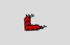 O=P([O-])([O-])OP(=O)([O-])OP(=O)([O-])OP(=O)([O-])OP(=O)([O-])[O-].O=P([O-])([O-])OP(=O)([O-])OP(=O)([O-])OP(=O)([O-])OP(=O)([O-])[O-].O=P([O-])([O-])OP(=O)([O-])OP(=O)([O-])OP(=O)([O-])OP(=O)([O-])[O-].O=P([O-])([O-])OP(=O)([O-])OP(=O)([O-])OP(=O)([O-])OP(=O)([O-])[O-].O=P([O-])([O-])OP(=O)([O-])OP(=O)([O-])OP(=O)([O-])OP(=O)([O-])[O-].[Nb+5].[Nb+5].[Nb+5].[Nb+5].[Nb+5].[Nb+5].[Nb+5]